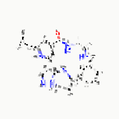 CCN[C@@H](C)CNC(=O)c1cc(-c2cnn3ccc(-c4ccccc4)nc23)nc(C2CC2)c1